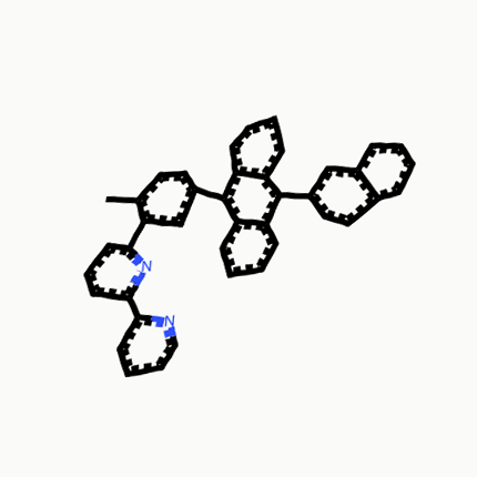 Cc1ccc(-c2c3ccccc3c(-c3ccc4ccccc4c3)c3ccccc23)cc1-c1cccc(-c2ccccn2)n1